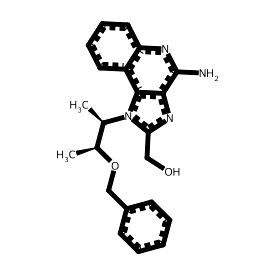 C[C@H](OCc1ccccc1)[C@@H](C)n1c(CO)nc2c(N)nc3ccccc3c21